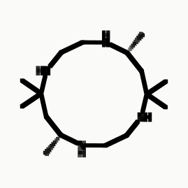 C[C@@H]1CC(C)(C)NCCN[C@H](C)CC(C)(C)NCCN1